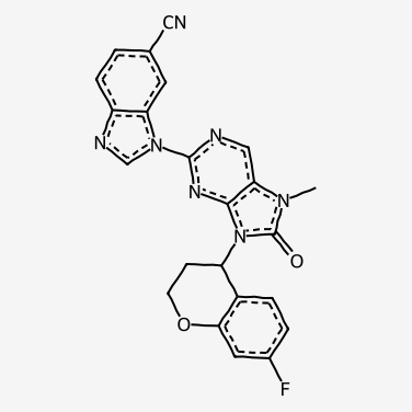 Cn1c(=O)n(C2CCOc3cc(F)ccc32)c2nc(-n3cnc4ccc(C#N)cc43)ncc21